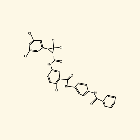 O=C(Nc1ccc(NC(=O)c2cc(NC(=O)[C@@H]3[C@@H](c4cc(Cl)cc(Cl)c4)C3(Cl)Cl)ccc2Cl)cc1)c1ccccc1